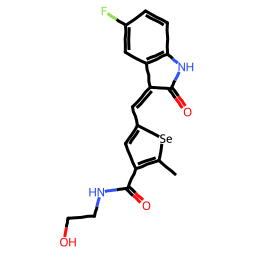 Cc1[se]c(/C=C2\C(=O)Nc3ccc(F)cc32)cc1C(=O)NCCO